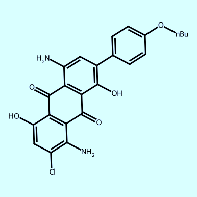 CCCCOc1ccc(-c2cc(N)c3c(c2O)C(=O)c2c(N)c(Cl)cc(O)c2C3=O)cc1